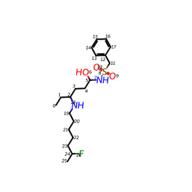 CCC(CCC(O)NS(=O)(=O)Cc1ccccc1)NCCCCCC(C)F